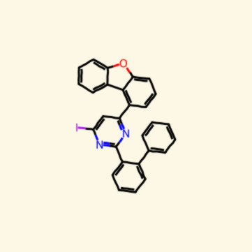 Ic1cc(-c2cccc3oc4ccccc4c23)nc(-c2ccccc2-c2ccccc2)n1